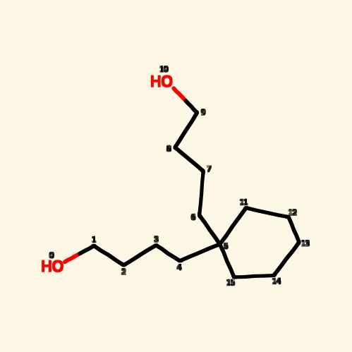 OCCCCC1(CCCCO)CCCCC1